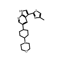 Cc1csc(-c2c[nH]c3ncc(C4CCC(N5CCOCC5)CC4)cc23)n1